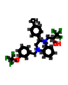 Cc1ccc([C@@H]2CN(Cc3cccc(OC(F)(F)F)c3)c3ccccc3N2C[C@@H](O)C(F)(F)F)cc1